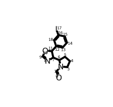 O=CN1CCCC1C1N=COC1c1cccc(I)c1